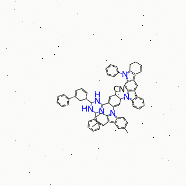 CC1=Cc2c(n(C3=CC(n4c5ccccc5c5cc6c7c(n(-c8ccccc8)c6cc54)CCC=C7)C(C#N)C=C3C3=NC(c4ccccc4)NC(C4C=CC=C(c5ccccc5)C4)N3)c3ccc(C)cc23)CC1